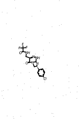 O=C1C(CNC(=O)C(F)(F)F)=NNC2=N[C@@H](c3ccc(Cl)cc3)CN12